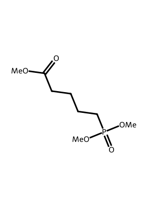 COC(=O)CCCCP(=O)(OC)OC